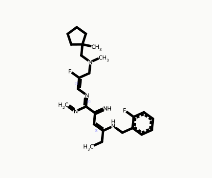 C=N/C(=N\C=C(\F)CN(C)CC1(C)CCCC1)C(=N)/C=C(/CC)NCc1ccccc1F